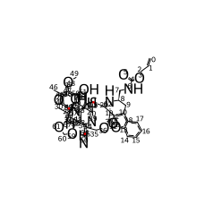 C=CCOC(=O)NC[C@H]1Cc2c(oc3ccccc23)[C@@]2(CS[C@@H]3c4c(OC(C)=O)c(C)c5c(c4[C@H](COC2=O)N2[C@@H]3[C@@H]3c4c(cc(C)c(OC)c4O)C[C@H]([C@@H]2C#N)N3C)OCO5)N1